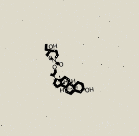 CCC1(O)CCN(C(=O)OCC(C)[C@H]2CC[C@H]3[C@@H]4CC=C5C[C@@H](O)CC[C@]5(C)[C@H]4CC[C@]23C)CC1